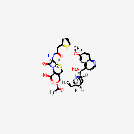 C=C[C@H]1C[N@]2CC[C@H]1C[C@H]2[C@H](O)c1ccnc2ccc(OC)cc12.CC(=O)OCC1=C(C(=O)O)N2C(=O)[C@@H](NC(=O)Cc3cccs3)[C@H]2SC1